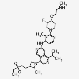 CCS(=O)(=O)CC[C@H]1CN(c2cnc(C(C)C)c3cc(NC4C=CN=C(N5CC[C@@H](OCCNC)[C@@H](F)C5)N4C)ncc23)[C@@H]1C